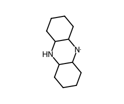 C1CCC2NC3CCCCC3[N]C2C1